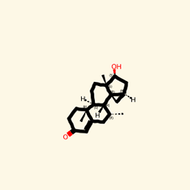 C[C@@H]1CC2=CC(=O)CC[C@]2(C)[C@H]2CC[C@]3(C)[C@@H](O)C[C@H]4C[C@]43[C@H]12